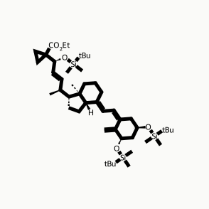 C=C1/C(=C\C=C2/CCC[C@]3(C)[C@@H]([C@@H](C)/C=C/[C@@H](O[Si](C)(C)C(C)(C)C)C4(C(=O)OCC)CC4)CC[C@@H]23)C[C@@H](O[Si](C)(C)C(C)(C)C)C[C@@H]1O[Si](C)(C)C(C)(C)C